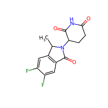 CC1c2cc(F)c(F)cc2C(=O)N1C1CCC(=O)NC1=O